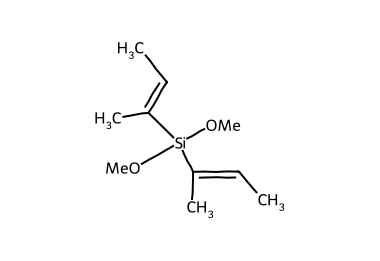 CC=C(C)[Si](OC)(OC)C(C)=CC